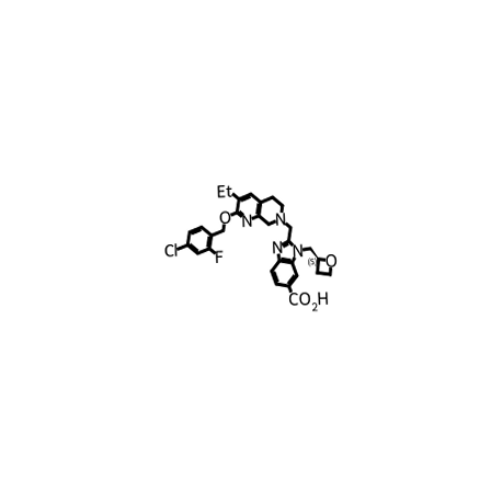 CCc1cc2c(nc1OCc1ccc(Cl)cc1F)CN(Cc1nc3ccc(C(=O)O)cc3n1C[C@@H]1CCO1)CC2